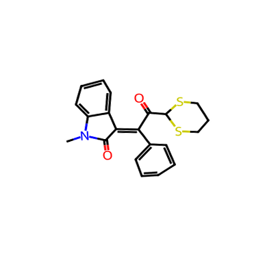 CN1C(=O)C(=C(C(=O)C2SCCCS2)c2ccccc2)c2ccccc21